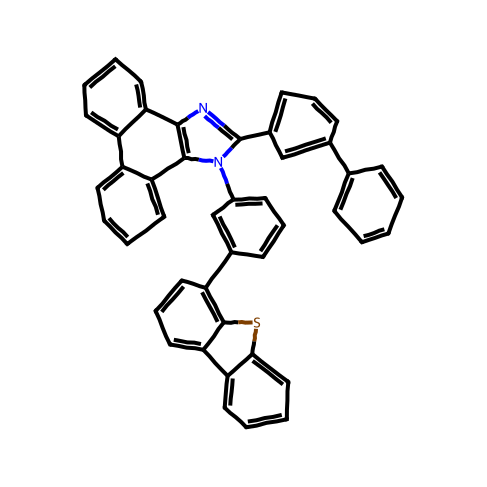 c1ccc(-c2cccc(-c3nc4c5ccccc5c5ccccc5c4n3-c3cccc(-c4cccc5c4sc4ccccc45)c3)c2)cc1